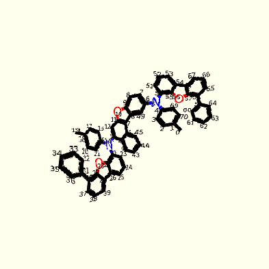 Cc1ccc(N(c2ccc3oc4cc(N(c5ccc(C)cc5)c5cccc6c5oc5c(-c7ccccc7)cccc56)c5ccccc5c4c3c2)c2cccc3c2oc2c(-c4ccccc4)cccc23)cc1